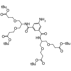 CC(C)(C)OC(=O)CCOCC(COCCC(=O)OC(C)(C)C)NC(=O)c1cc(N)cc(C(=O)NC(COCCC(=O)OC(C)(C)C)COCCC(=O)OC(C)(C)C)c1